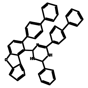 c1ccc(-c2ccc(C3=NC(c4c(-c5ccc(-c6ccccc6)cc5)ccc5oc6ccccc6c45)NC(c4ccccc4)N3)cc2)cc1